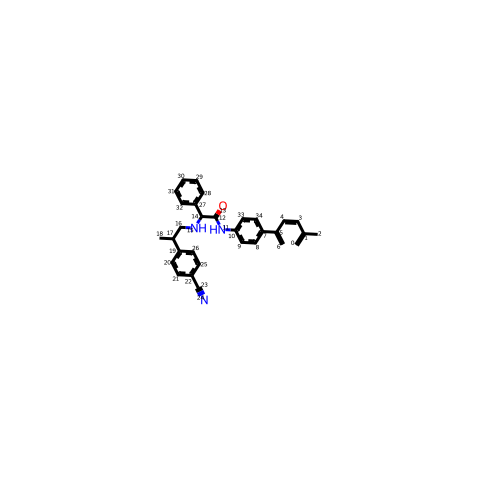 C=C(C)/C=C\C(=C)c1ccc(NC(=O)C(NCC(C)c2ccc(C#N)cc2)c2ccccc2)cc1